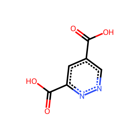 O=C(O)c1cnnc(C(=O)O)c1